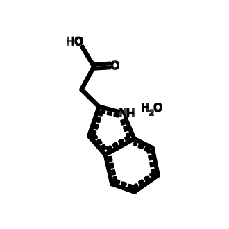 O.O=C(O)Cc1cc2ccccc2[nH]1